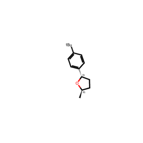 C[C@@H]1CC[C@@H](c2ccc(C(C)(C)C)cc2)O1